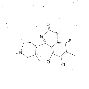 Cc1c(Cl)c2c3c(nc(=O)n(C)c3c1F)N1CCN(C)CC1CO2